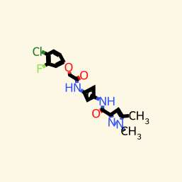 Cc1cc(C(=O)NC23CC(NC(=O)COc4ccc(Cl)c(F)c4)(C2)C3)nn1C